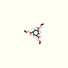 C=COC(=O)C1(F)C(F)(F)C(F)(C(=O)OC=C)C(F)(F)C(F)(C(=O)OC=C)C1(F)F